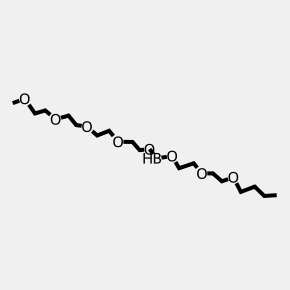 CCCCOCCOCCOBOCCOCCOCCOCCOC